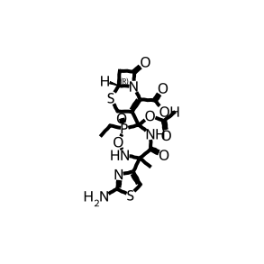 CCP1(=O)ONC(C)(c2csc(N)n2)C(=O)NC1(OC(C)=O)C1=C(C(=O)O)N2C(=O)C[C@H]2SC1